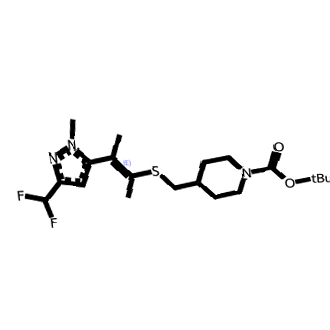 C/C(SCC1CCN(C(=O)OC(C)(C)C)CC1)=C(/C)c1cc(C(F)F)nn1C